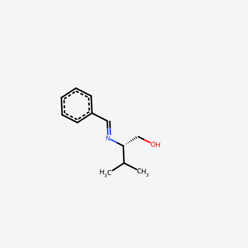 CC(C)[C@@H](CO)N=Cc1ccccc1